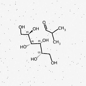 CC(C)C=O.OC[C@@H](O)[C@@H](O)[C@H](O)[C@@H](O)CO